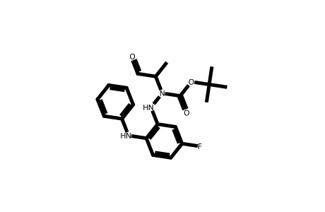 CC(C=O)N(Nc1cc(F)ccc1Nc1ccccc1)C(=O)OC(C)(C)C